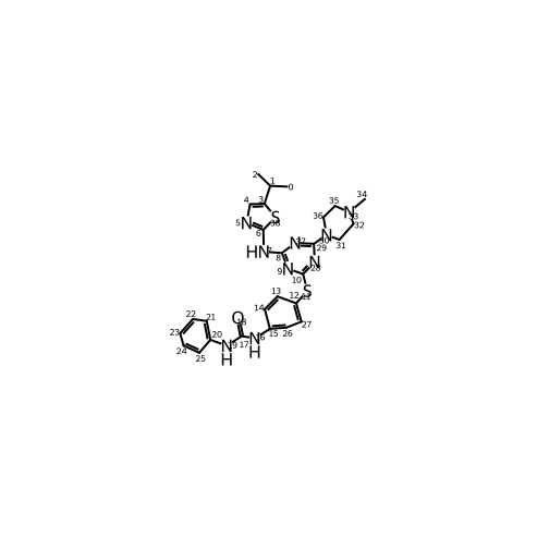 CC(C)c1cnc(Nc2nc(Sc3ccc(NC(=O)Nc4ccccc4)cc3)nc(N3CCN(C)CC3)n2)s1